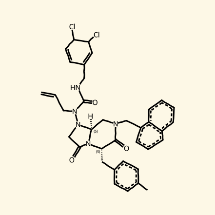 C=CCN(C(=O)NCC1=CC(Cl)C(Cl)C=C1)N1CC(=O)N2[C@@H](Cc3ccc(C)cc3)C(=O)N(Cc3cccc4ccccc34)C[C@@H]21